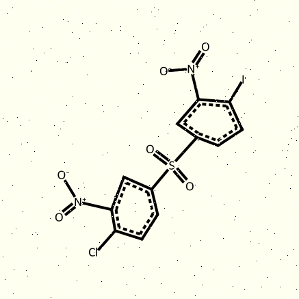 O=[N+]([O-])c1cc(S(=O)(=O)c2ccc(I)c([N+](=O)[O-])c2)ccc1Cl